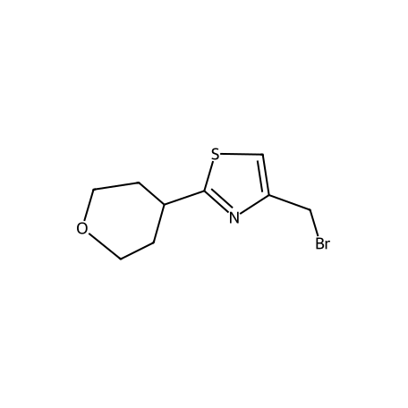 BrCc1csc(C2CCOCC2)n1